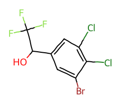 OC(c1cc(Cl)c(Cl)c(Br)c1)C(F)(F)F